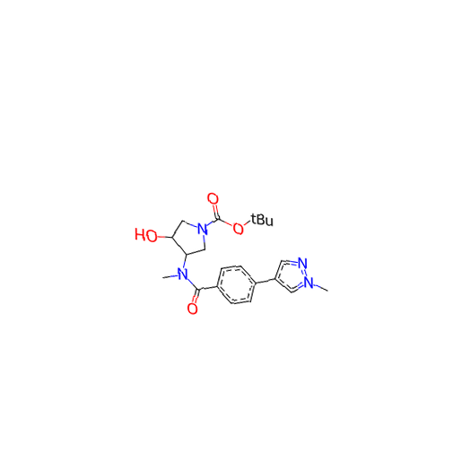 CN(C(=O)c1ccc(-c2cnn(C)c2)cc1)C1CN(C(=O)OC(C)(C)C)CC1O